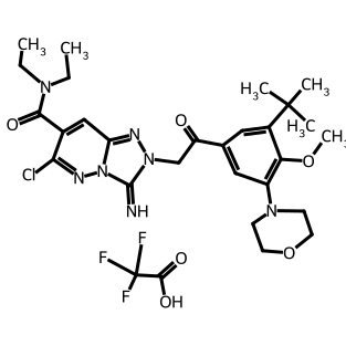 CCN(CC)C(=O)c1cc2nn(CC(=O)c3cc(N4CCOCC4)c(OC)c(C(C)(C)C)c3)c(=N)n2nc1Cl.O=C(O)C(F)(F)F